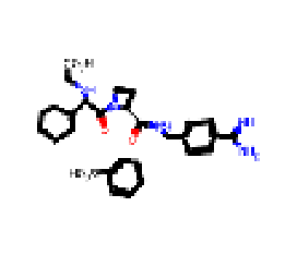 N=C(N)c1ccc(CNC(=O)[C@@H]2CCN2C(=O)C(NCC(=O)O)C2CCCCC2)cc1.O=S(=O)(O)c1ccccc1